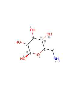 NCC1O[C@@H](O)C(O)C(O)[C@@H]1O